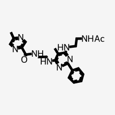 CC(=O)NCCNc1nc(-c2ccccc2)nc(NCCNC(=O)c2cnc(C)cn2)c1C